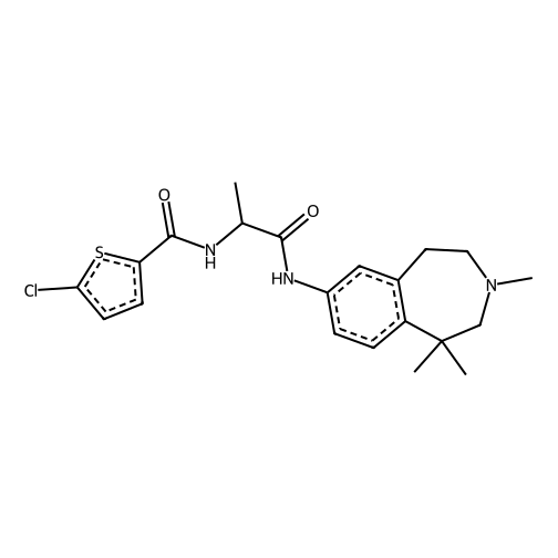 CC(NC(=O)c1ccc(Cl)s1)C(=O)Nc1ccc2c(c1)CCN(C)CC2(C)C